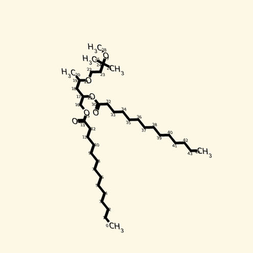 CCCCCCCCCCCCCC(=O)OCC(CC(C)OCCC(C)(C)OC)OC(=O)CCCCCCCCCCCCC